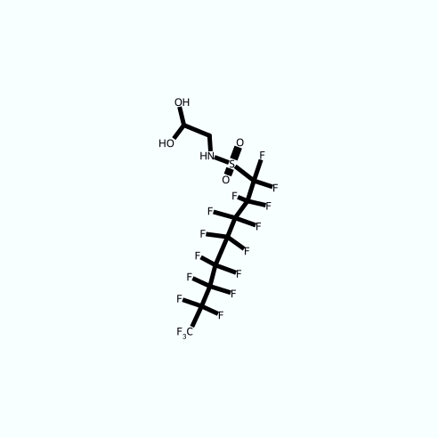 O=S(=O)(NCC(O)O)C(F)(F)C(F)(F)C(F)(F)C(F)(F)C(F)(F)C(F)(F)C(F)(F)C(F)(F)F